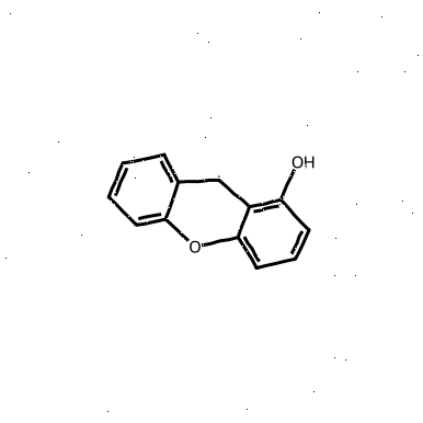 Oc1cccc2c1[CH]c1ccccc1O2